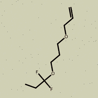 C=CCOCCCOC(F)(F)CC